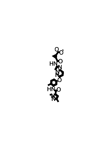 COC(=O)C1CC1C(=O)Nc1cn2nc(Oc3ccc(C)c(NC(=O)c4cc(C)nn4C)c3)ccc2n1